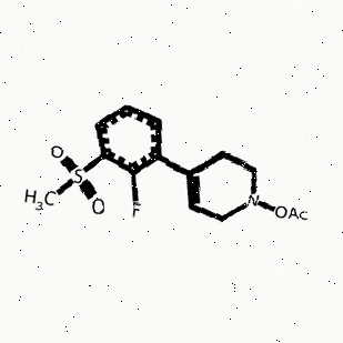 CC(=O)ON1CC=C(c2cccc(S(C)(=O)=O)c2F)CC1